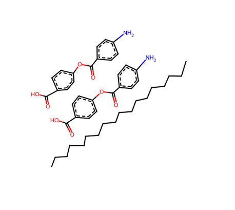 CCCCCCCCCCCCCCCCCC.Nc1ccc(C(=O)Oc2ccc(C(=O)O)cc2)cc1.Nc1ccc(C(=O)Oc2ccc(C(=O)O)cc2)cc1